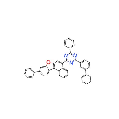 c1ccc(-c2cccc(-c3nc(-c4ccccc4)nc(-c4cc5oc6cc(-c7ccccc7)ccc6c5c5ccccc45)n3)c2)cc1